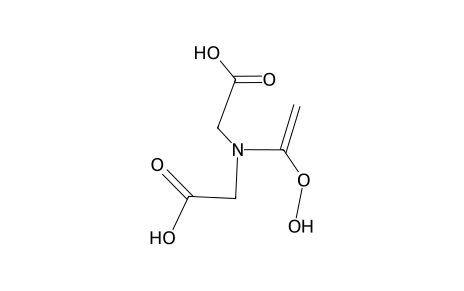 C=C(OO)N(CC(=O)O)CC(=O)O